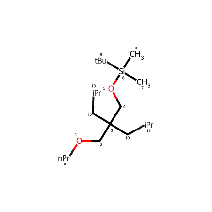 CCCOCC(CO[Si](C)(C)C(C)(C)C)(CC(C)C)CC(C)C